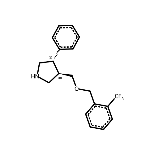 FC(F)(F)c1ccccc1COC[C@H]1CNC[C@@H]1c1ccccc1